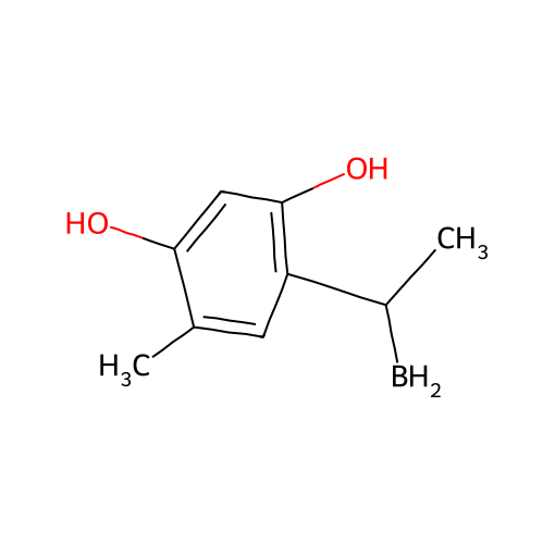 BC(C)c1cc(C)c(O)cc1O